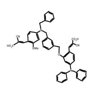 COc1cc(N(Cc2ccccc2)Cc2cccc(COc3cc(N(c4ccccc4)c4ccccc4)ccc3/C=C(\C#N)C(=O)O)c2)ccc1/C=C(\C#N)C(=O)O